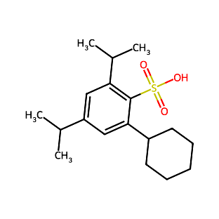 CC(C)c1cc(C(C)C)c(S(=O)(=O)O)c(C2CCCCC2)c1